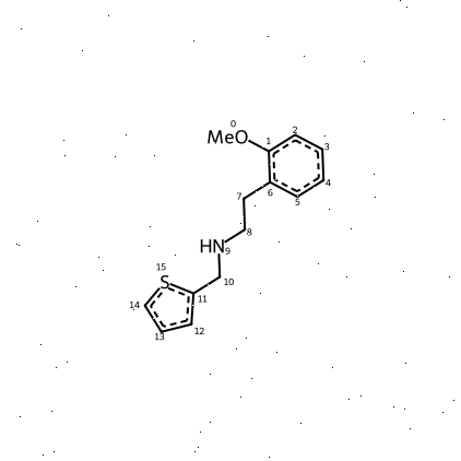 COc1ccccc1CCNCc1cccs1